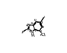 Cc1cc(Cl)c2[nH]c(C)nc2c1